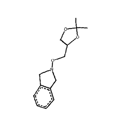 CC1(C)OCC(CON2Cc3ccccc3C2)O1